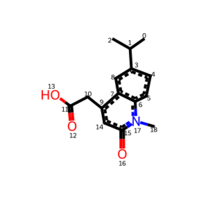 CC(C)c1ccc2c(c1)c(CC(=O)O)cc(=O)n2C